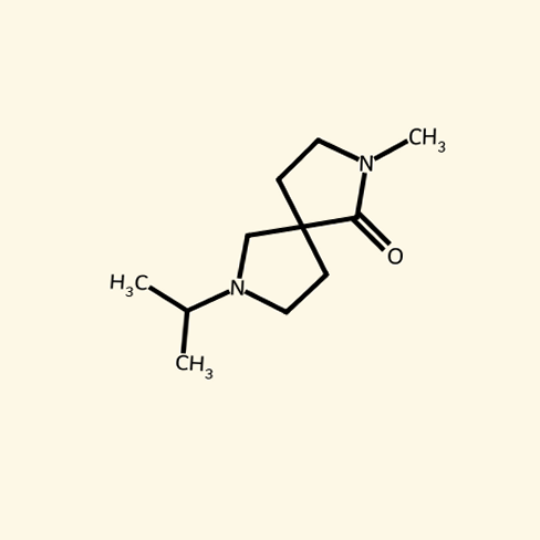 CC(C)N1CCC2(CCN(C)C2=O)C1